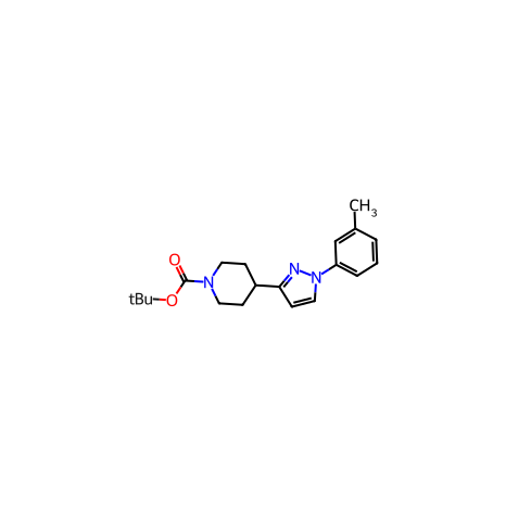 Cc1cccc(-n2ccc(C3CCN(C(=O)OC(C)(C)C)CC3)n2)c1